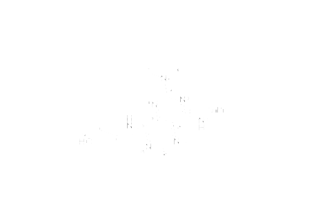 CCCNc1nc(N(C)C)nc2c(NCCO)ncnc12